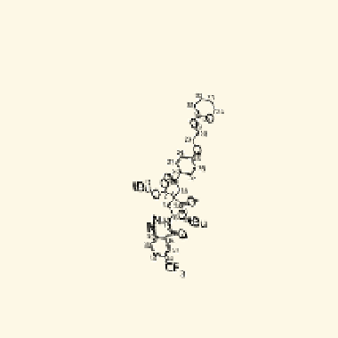 CC(C)(C)OC(=O)C(CCn1nnc2ccc(C(F)(F)F)cc2c1=O)(CC(=O)c1ccc(OCCOC2CCCCO2)cc1)C(=O)OC(C)(C)C